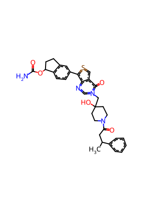 CC(CC(=O)N1CCC(O)(Cn2cnc3c(-c4ccc5c(c4)CCC5OC(N)=O)scc3c2=O)CC1)c1ccccc1